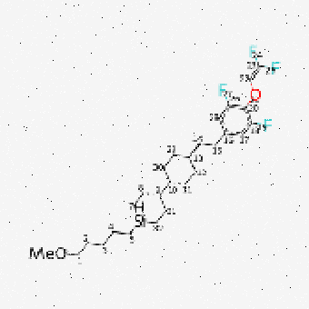 COCCCCC[Si@H]1CC[C@H]([C@H]2CC[C@H](CCc3cc(F)c(OC=C(F)F)c(F)c3)CC2)CC1